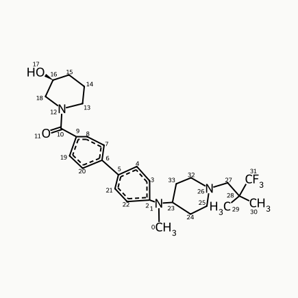 CN(c1ccc(-c2ccc(C(=O)N3CCC[C@H](O)C3)cc2)cc1)C1CCN(CC(C)(C)C(F)(F)F)CC1